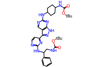 CC(C)(C)OC(=O)NCC(Nc1nccc(-c2n[nH]c3nc(NC4CCC(NC(=O)OC(C)(C)C)CC4)ncc23)n1)c1ccccc1